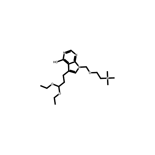 CCOC(CCc1cn(COCC[Si](C)(C)C)c2ncnc(O)c12)OCC